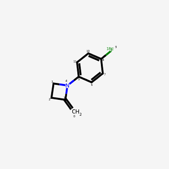 C=C1CCN1c1ccc([18F])cc1